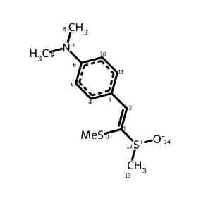 CS/C(=C\c1ccc(N(C)C)cc1)[S+](C)[O-]